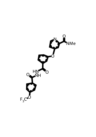 CNC(=O)c1cc(Oc2cccc(C(=O)NNC(=O)c3ccc(OC(F)(F)F)cc3)c2)ccn1